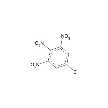 O=[N+]([O-])c1cc(Cl)cc([N+](=O)[O-])c1[N+](=O)[O-]